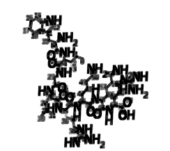 CC[C@H](C)[C@H](NC(=O)[C@@H](N)Cc1c[nH]c2ccccc12)C(=O)NCC(=O)N[C@@H](CC(C)C)C(=O)N[C@@H](CCCNC(=N)N)C(=O)N[C@@H](CCCCN)C(=O)N[C@@H](CCCCN)C(=O)N[C@@H](CCCNC(=N)N)C(=O)O